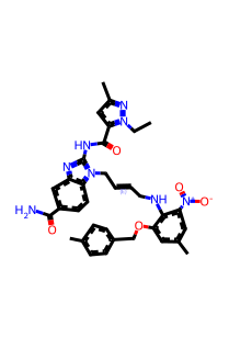 CCn1nc(C)cc1C(=O)Nc1nc2cc(C(N)=O)ccc2n1C/C=C/CNc1c(OCc2ccc(C)cc2)cc(C)cc1[N+](=O)[O-]